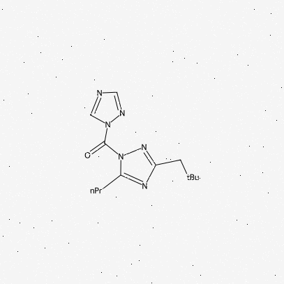 CCCc1nc(CC(C)(C)C)nn1C(=O)n1cncn1